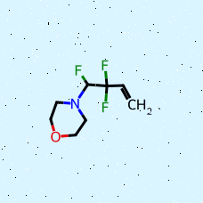 C=CC(F)(F)C(F)N1CCOCC1